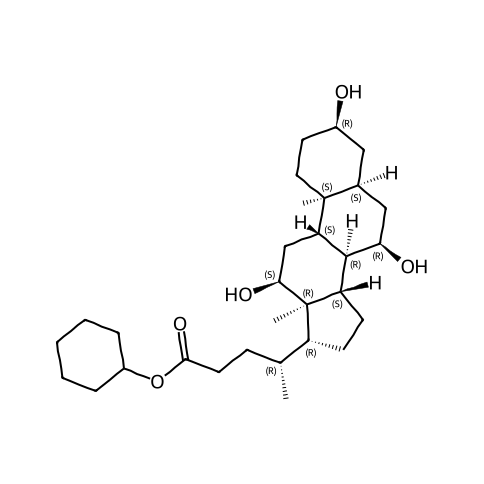 C[C@H](CCC(=O)OC1CCCCC1)[C@H]1CC[C@H]2[C@@H]3[C@H](O)C[C@@H]4C[C@H](O)CC[C@]4(C)[C@H]3C[C@H](O)[C@]12C